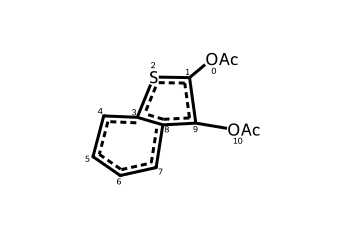 CC(=O)Oc1sc2ccccc2c1OC(C)=O